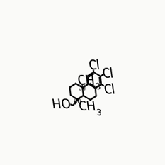 C[C@@]1(CO)CCC[C@]2(C)c3cc(Cl)c(Cl)c(Cl)c3CCC12